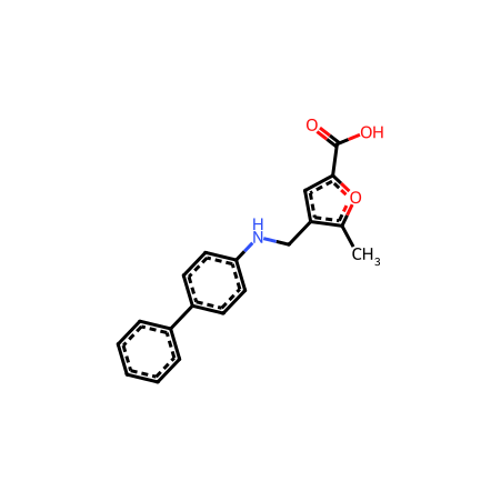 Cc1oc(C(=O)O)cc1CNc1ccc(-c2ccccc2)cc1